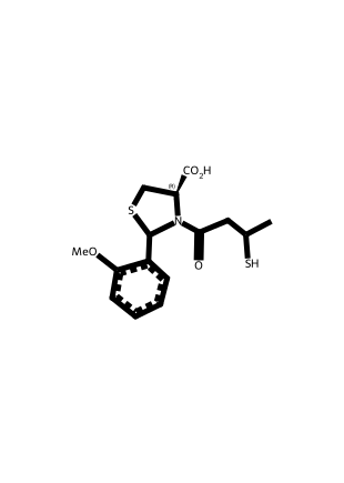 COc1ccccc1C1SC[C@@H](C(=O)O)N1C(=O)CC(C)S